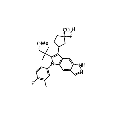 COCC(C)(C)c1c(C2CC[C@@](F)(C(=O)O)C2)c2cc3[nH]ncc3cc2n1-c1ccc(F)c(C)c1